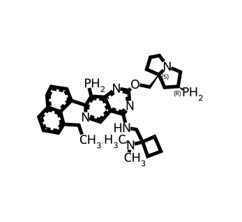 CCc1cccc2cccc(-c3ncc4c(NCC5(N(C)C)CCC5)nc(OC[C@@]56CCCN5C[C@H](P)C6)nc4c3P)c12